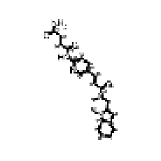 CN(Cc1cc2ccccc2n1C)C(=O)C=Cc1ccc(NC(=O)CCC(N)=O)nc1